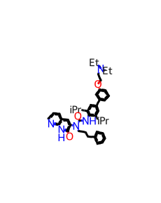 CCN(CC)CCOc1cccc(-c2cc(C(C)C)c(NC(=O)N(CCCc3ccccc3)c3cc4cccnc4[nH]c3=O)c(C(C)C)c2)c1